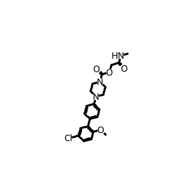 CNC(=O)COC(=O)N1CCN(c2ccc(-c3cc(Cl)ccc3OC)cc2)CC1